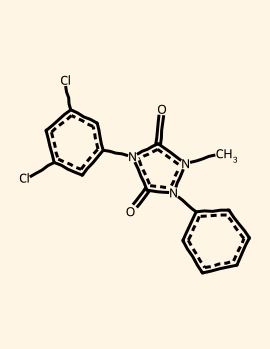 Cn1c(=O)n(-c2cc(Cl)cc(Cl)c2)c(=O)n1-c1ccccc1